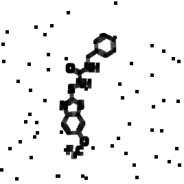 O=C(NCc1ccccc1)NSc1nc2ccc(OC(F)(F)F)cc2s1